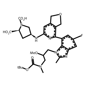 COC(CN(C)C(=O)OC(C)(C)C)Cn1c(C)nc2cc(F)cc(-c3nc(N[C@H]4C[C@@H](C(=O)O)N(C(=O)O)C4)cc4c3COC4)c21